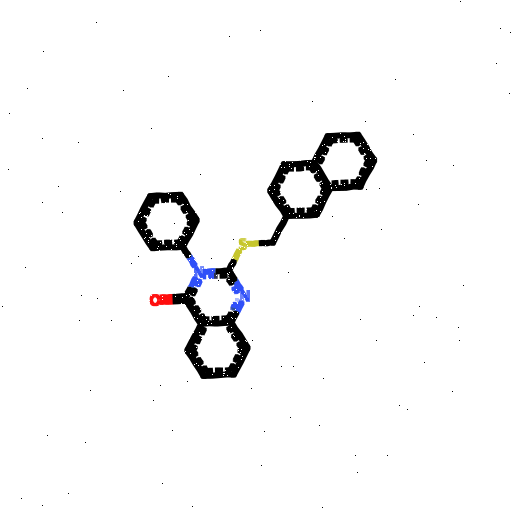 O=c1c2ccccc2nc(SCc2ccc3ccccc3c2)n1-c1ccccc1